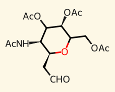 CC(=O)N[C@H]1C(OC(C)=O)[C@@H](OC(C)=O)C(COC(C)=O)O[C@H]1CC=O